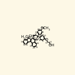 COc1ccc(C2(c3ccc(OCCO)cc3)C=Cc3c4c(c5ccccc5c3O2)-c2ccccc2C4(C)C)cc1